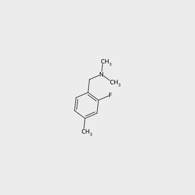 Cc1ccc(CN(C)C)c(F)c1